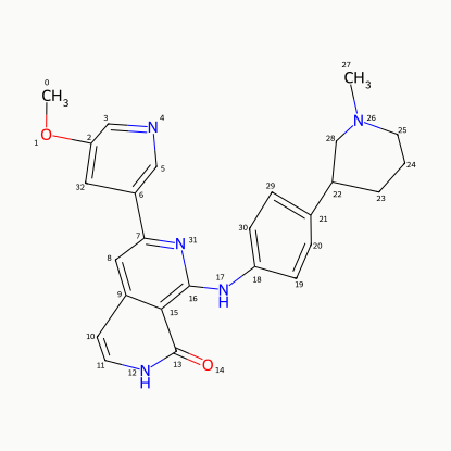 COc1cncc(-c2cc3cc[nH]c(=O)c3c(Nc3ccc(C4CCCN(C)C4)cc3)n2)c1